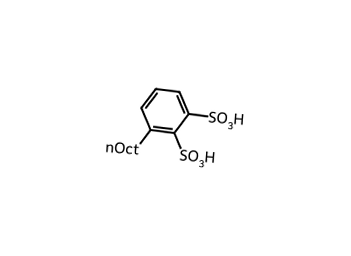 CCCCCCCCc1cccc(S(=O)(=O)O)c1S(=O)(=O)O